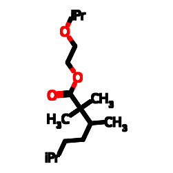 CC(C)CCC(C)C(C)(C)C(=O)OCCOC(C)C